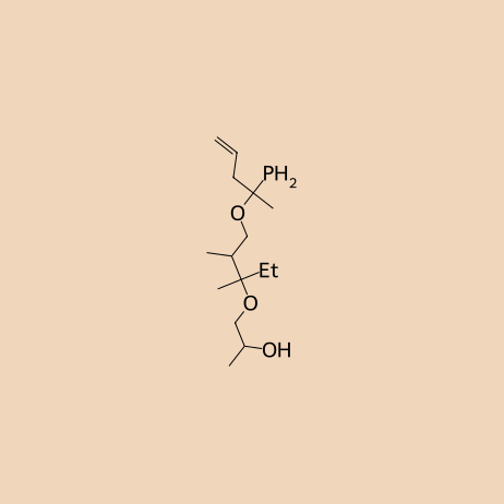 C=CCC(C)(P)OCC(C)C(C)(CC)OCC(C)O